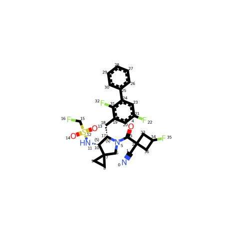 N#CC1(C(=O)N2CC3(CC3)[C@H](NS(=O)(=O)CF)[C@@H]2Cc2cc(F)cc(-c3ccccc3)c2F)CC(F)C1